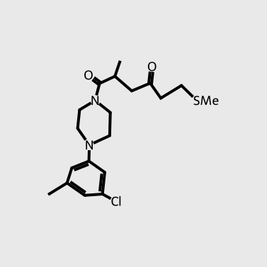 CSCCC(=O)CC(C)C(=O)N1CCN(c2cc(C)cc(Cl)c2)CC1